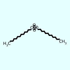 CCCCCCCCCCCCCOS(=O)(=O)OCCCCCCCCCCCCC